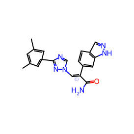 Cc1cc(C)cc(-c2ncn(/C=C(/C(N)=O)c3ccc4cn[nH]c4c3)n2)c1